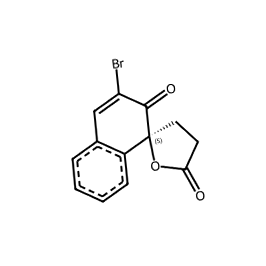 O=C1CC[C@@]2(O1)C(=O)C(Br)=Cc1ccccc12